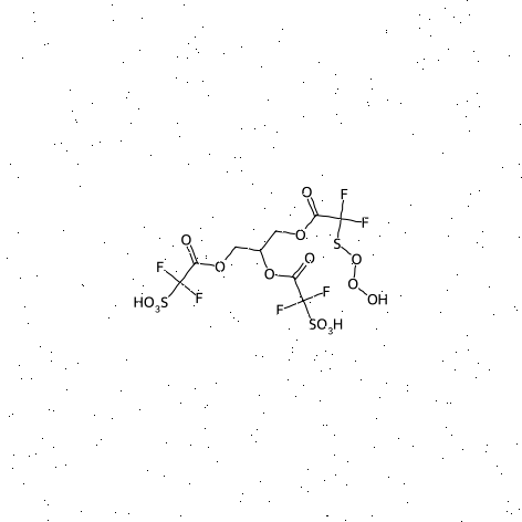 O=C(OCC(COC(=O)C(F)(F)S(=O)(=O)O)OC(=O)C(F)(F)S(=O)(=O)O)C(F)(F)SOOO